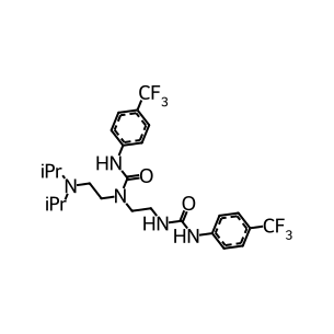 CC(C)N(CCN(CCNC(=O)Nc1ccc(C(F)(F)F)cc1)C(=O)Nc1ccc(C(F)(F)F)cc1)C(C)C